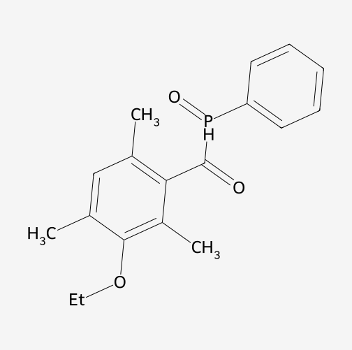 CCOc1c(C)cc(C)c(C(=O)[PH](=O)c2ccccc2)c1C